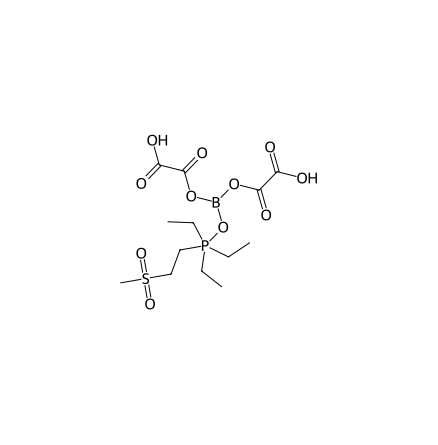 CCP(CC)(CC)(CCS(C)(=O)=O)OB(OC(=O)C(=O)O)OC(=O)C(=O)O